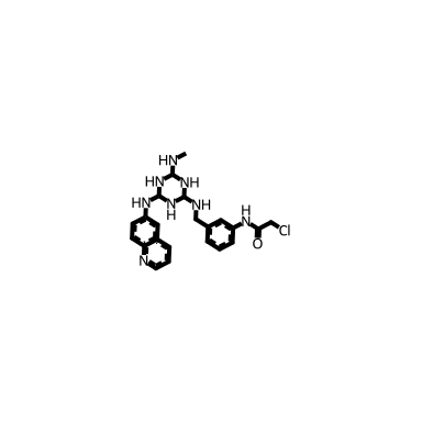 CNC1NC(NCc2cccc(NC(=O)CCl)c2)NC(Nc2ccc3ncccc3c2)N1